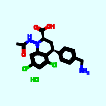 CC(=O)NN1c2cc(Cl)cc(Cl)c2[C@@H](c2ccc(CN)cc2)C[C@@H]1C(=O)O.Cl